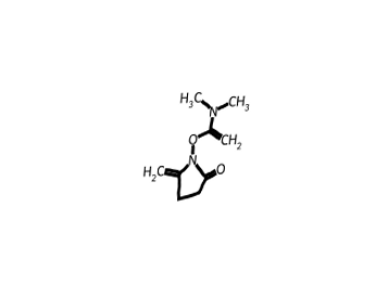 C=C(ON1C(=C)CCC1=O)N(C)C